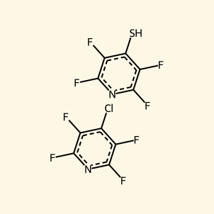 Fc1nc(F)c(F)c(Cl)c1F.Fc1nc(F)c(F)c(S)c1F